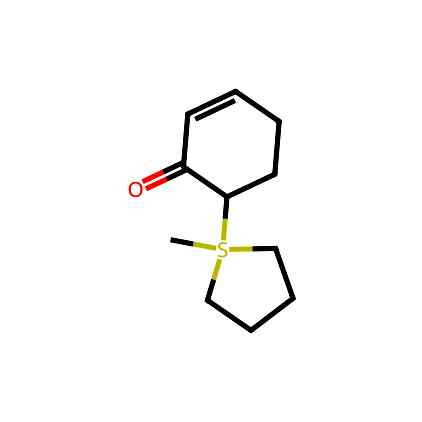 CS1(C2CCC=CC2=O)CCCC1